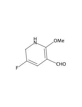 COC1=C(C=O)C=C(F)CN1